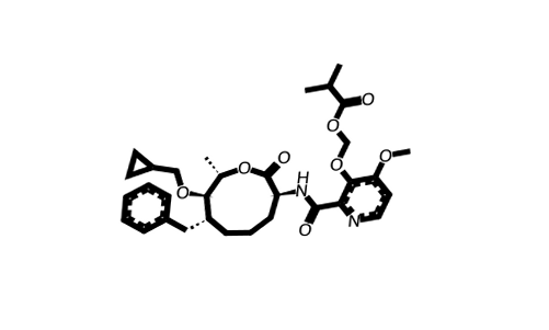 COc1ccnc(C(=O)N[C@H]2CCC[C@H](Cc3ccccc3)[C@@H](OCC3CC3)[C@H](C)OC2=O)c1OCOC(=O)C(C)C